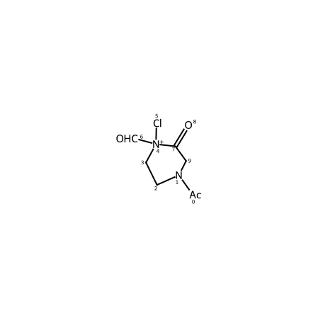 CC(=O)N1CC[N+](Cl)(C=O)C(=O)C1